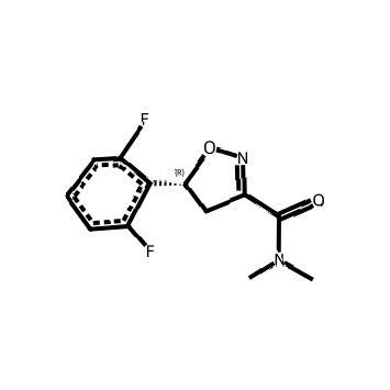 CN(C)C(=O)C1=NO[C@@H](c2c(F)cccc2F)C1